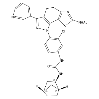 CC(=O)Nc1nc2c(s1)-c1c(c(-c3cccnc3)nn1-c1ccc(NC(=O)N[C@@H]3C[C@H]4CC[C@@H]3C4)cc1Cl)CC2